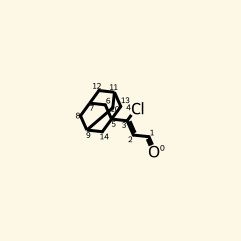 O=CC=C(Cl)C12CC3CC(CC(C3)C1)C2